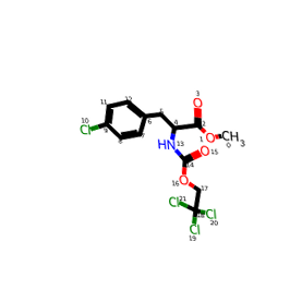 COC(=O)C(Cc1ccc(Cl)cc1)NC(=O)OCC(Cl)(Cl)Cl